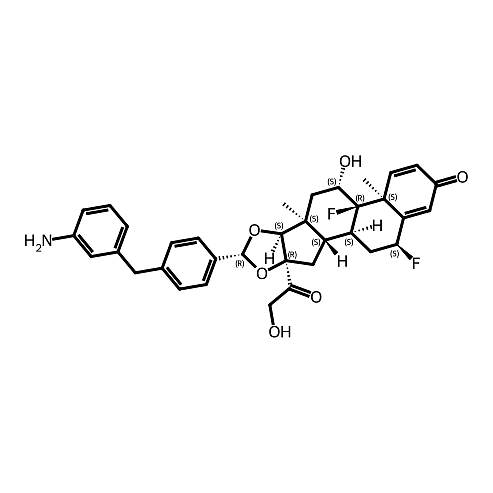 C[C@]12C[C@H](O)[C@@]3(F)[C@@H](C[C@H](F)C4=CC(=O)C=C[C@@]43C)[C@@H]1C[C@@]1(C(=O)CO)O[C@H](c3ccc(Cc4cccc(N)c4)cc3)O[C@@H]21